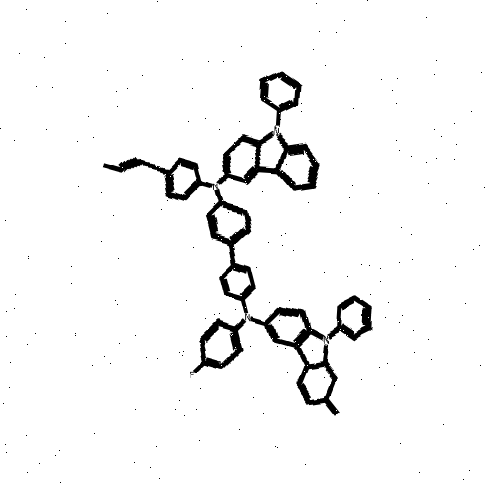 C/C=C/c1ccc(N(C2=CCC3C(=C2)c2ccccc2N3c2ccccc2)c2ccc(-c3ccc(N(c4ccc(F)cc4)c4ccc5c(c4)C4C=CC(C)CC4N5c4ccccc4)cc3)cc2)cc1